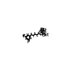 CCO[Si](CCCCCCc1cc(F)cc(F)c1)(OCC)OCC